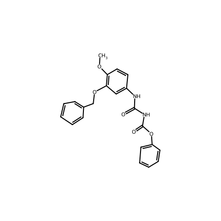 COc1ccc(NC(=O)NC(=O)Oc2ccccc2)cc1OCc1ccccc1